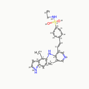 Cc1c(Nc2c(C#N)cncc2C=Cc2ccc(S(=O)(=O)NCC(C)C)cc2)ccc2[nH]ccc12